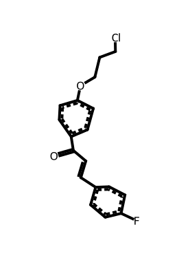 O=C(C=Cc1ccc(F)cc1)c1ccc(OCCCCl)cc1